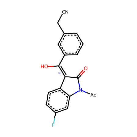 CC(=O)N1C(=O)/C(=C(/O)c2cccc(CC#N)c2)c2ccc(F)cc21